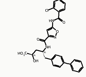 O=C(N[C@H](Cc1ccc(-c2ccccc2)cc1)C[C@@H](O)C(=O)O)c1cc(NC(=O)c2ccccc2Cl)on1